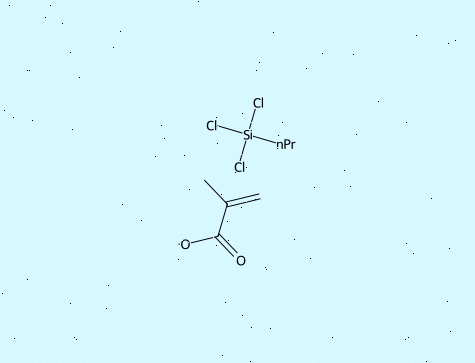 C=C(C)C([O])=O.CCC[Si](Cl)(Cl)Cl